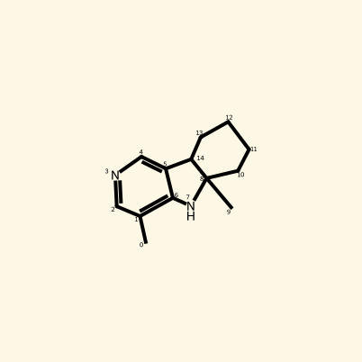 Cc1cncc2c1NC1(C)CCCCC21